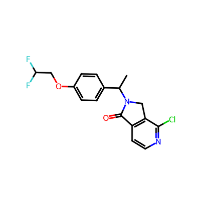 CC(c1ccc(OCC(F)F)cc1)N1Cc2c(ccnc2Cl)C1=O